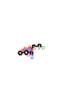 CS(=O)(=O)c1c(-c2ccccc2)ccc([C@@]2(NS(=O)(=O)c3ccc(-c4ccc(Cl)s4)s3)CCNC2=O)c1F